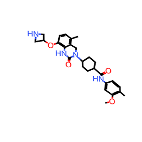 COc1cc(NC(=O)C2CCC(N3Cc4c(C)ccc(OC5CNC5)c4NC3=O)CC2)ccc1C